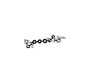 COC(=O)NC(C(=O)N1CCCC1c1ncc(-c2ccc(-c3ccc(-c4ccc5nc(C6CCCN6C(=O)OC(C)(C)C)[nH]c5c4)cc3)cc2)[nH]1)C(C)C